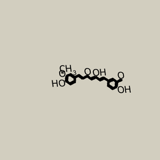 COc1cc(/C=C/C(=O)/C=C(O)/C=C/c2ccc(O)c(C=O)c2)ccc1O